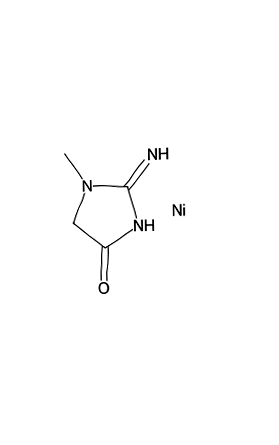 CN1CC(=O)NC1=N.[Ni]